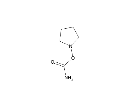 NC(=O)ON1CCCC1